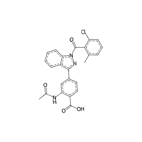 CC(=O)Nc1cc(-c2nn(C(=O)c3c(C)cccc3Cl)c3ccccc23)ccc1C(=O)O